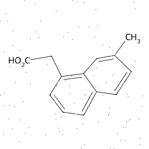 Cc1ccc2cccc(CC(=O)O)c2c1